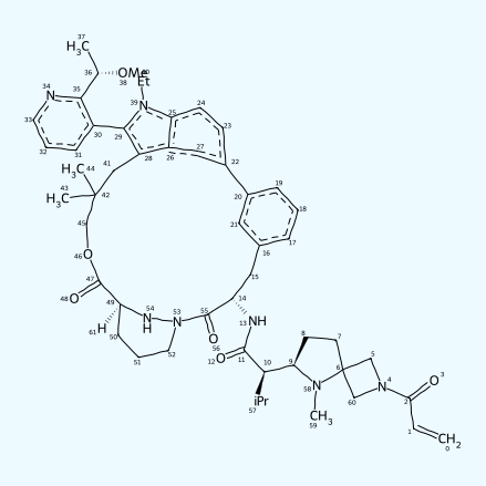 C=CC(=O)N1CC2(CC[C@H]([C@H](C(=O)N[C@H]3Cc4cccc(c4)-c4ccc5c(c4)c(c(-c4cccnc4[C@H](C)OC)n5CC)CC(C)(C)COC(=O)[C@@H]4CCCN(N4)C3=O)C(C)C)N2C)C1